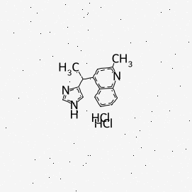 Cc1cc(C(C)c2c[nH]cn2)c2ccccc2n1.Cl.Cl